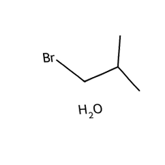 CC(C)CBr.O